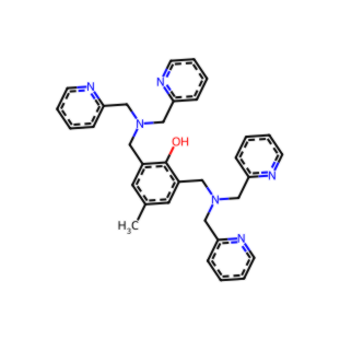 Cc1cc(CN(Cc2ccccn2)Cc2ccccn2)c(O)c(CN(Cc2ccccn2)Cc2ccccn2)c1